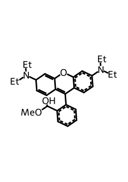 CCN(CC)c1ccc2c(c1)OC1=CC(N(CC)CC)C=CC1=C2c1ccccc1C(O)OC